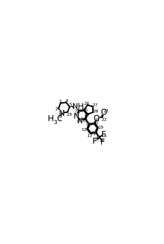 CN1CCC[C@@H](Nc2nnc(-c3ccc(C(F)(F)F)cc3OC=O)c3c2CCC3)C1